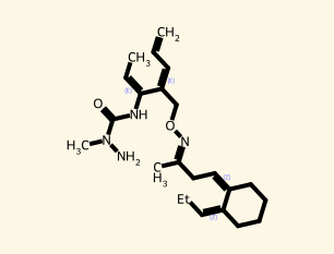 C=C/C=C(CON=C(C)C/C=C1/CCCC/C1=C/CC)\C(=C/C)NC(=O)N(C)N